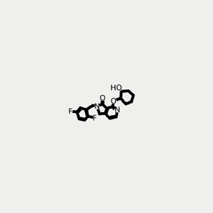 O=C1c2c(ccnc2OC2CCCCC2O)CN1Cc1cc(F)ccc1F